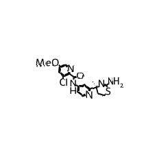 COc1cnc(C(=O)Nc2ccnc([C@]3(C)CCSC(N)=N3)c2)c(Cl)c1